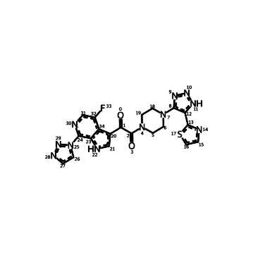 O=C(C(=O)N1CCN(c2nn[nH]c2-c2nccs2)CC1)c1c[nH]c2c(-n3ccnn3)ncc(F)c12